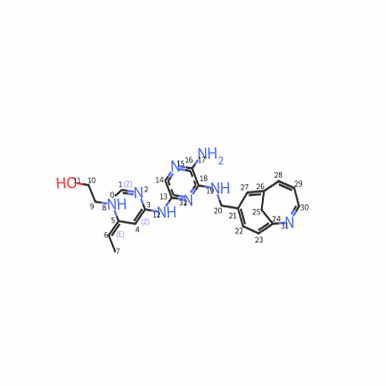 C\C=N/C(=C\C(=C/C)NCCO)Nc1cnc(N)c(NCC2=CC=C3CC(=C2)C=CC=N3)n1